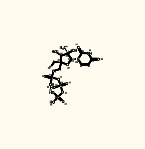 C[C@@]1(O)[C@H](O)[C@@](CF)(COP(O)(=S)OP(=O)(O)OP(=O)(O)O)O[C@H]1n1ccc(=O)[nH]c1=O